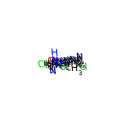 CC[C@H]1CN(c2nc3[nH]c(=O)n(Cc4ccc(Cl)cc4C#N)c3nc2Cl)CCN1C1CCN(Cc2ccc(Cl)cc2C#N)CC1